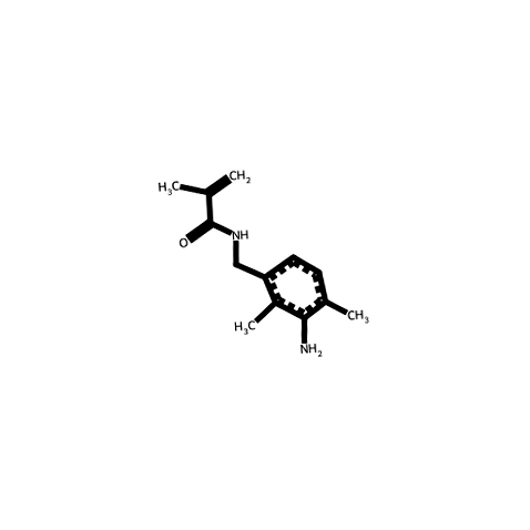 C=C(C)C(=O)NCc1ccc(C)c(N)c1C